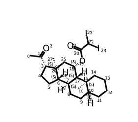 CC(=O)[C@H]1CC[C@H]2[C@@H]3CC[C@H]4CCCC[C@]4(C)[C@H]3[C@@H](OC(=O)C(I)I)C[C@]12C